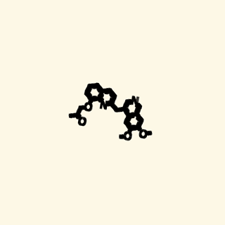 COc1cc2cncc(Cc3ccc4cccc(OCC(C)=O)c4n3)c2cc1OC